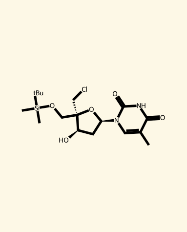 Cc1cn([C@H]2C[C@@H](O)[C@@](CCl)(CO[Si](C)(C)C(C)(C)C)O2)c(=O)[nH]c1=O